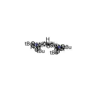 CC(C)(C)OC(=O)/N=C(\NC(=O)OC(C)(C)C)N1CC=C(c2ccc(NC(=O)c3ccc(C4=CCN(/C(=N/C(=O)OC(C)(C)C)NC(=O)OC(C)(C)C)CC4)s3)cc2)CC1